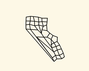 CC12C3CC4C5C6C7C8CC9C%10C%11C%12CC%13C%14C%15C%16C%17C%18CC%19C%20C3C13C%201C%18%19C%17%18C%16%17C%16C%19(C5C42C%193C%16%181)C12C6C73C89C%104C%115C%13%12C%146C%15%17C1C65C324